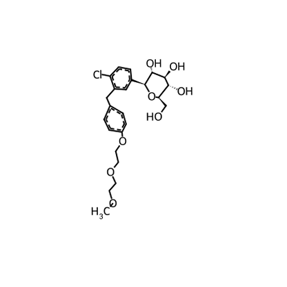 COCCOCCOc1ccc(Cc2cc([C@@H]3O[C@H](CO)[C@@H](O)[C@H](O)[C@H]3O)ccc2Cl)cc1